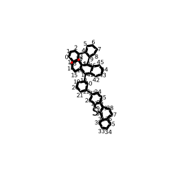 c1ccc(-c2ccccc2-c2c3ccccc3c(-c3cccc(-c4ccc5c(c4)sc4c6ccccc6ccc54)c3)c3ccccc23)cc1